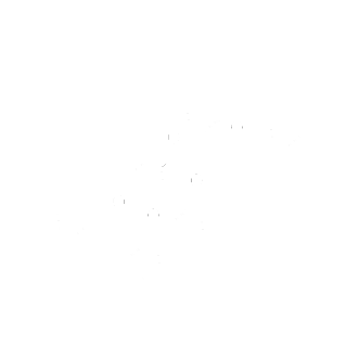 Cc1cc(OCc2ccccc2)c2c(c1)O[C@H](c1ccc(OCc3ccccc3)c(OCc3ccccc3)c1)C(OCc1ccccc1)C2